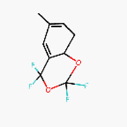 CC1=CCC2OC(F)(F)OC(F)(F)C2=C1